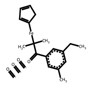 CCc1cc(C)cc(C(=O)[C](C)(C)[Fe][C]2=CC=CC2)c1.[C]=O.[C]=O.[C]=O